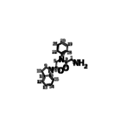 NCC(=O)N(CC(=O)N1CCc2ccccc21)c1ccccc1